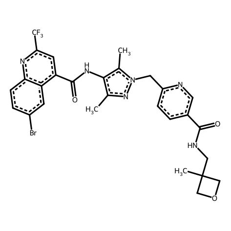 Cc1nn(Cc2ccc(C(=O)NCC3(C)COC3)cn2)c(C)c1NC(=O)c1cc(C(F)(F)F)nc2ccc(Br)cc12